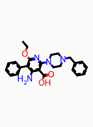 CCOc1nc(N2CCN(Cc3ccccc3)CC2)c(C(=O)O)c(N)c1-c1ccccc1